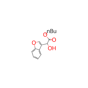 CCCCOC(=O)C(O)c1coc2ccccc12